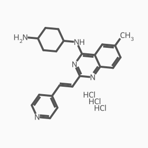 Cc1ccc2nc(/C=C/c3ccncc3)nc(NC3CCC(N)CC3)c2c1.Cl.Cl.Cl